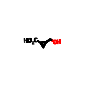 O=C(O)[C@@H]1CC1CO